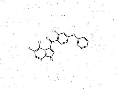 O=C(c1ccc(Oc2ccccc2)cc1Cl)c1c[nH]c2ncc(F)c(Cl)c12